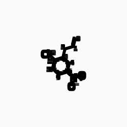 C=CCc1cc([N+](=O)[O-])ccc1Cl